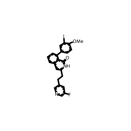 COc1ccc(-c2cccc3cc(CCc4cncc(F)c4)[nH]c(=O)c23)cc1I